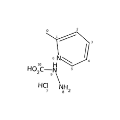 Cc1ccccn1.Cl.NNC(=O)O